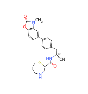 Cn1c(=O)oc2ccc(-c3ccc(C[C@@H](C#N)NC(=O)C4CNCCCS4)cc3)cc21